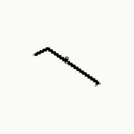 CCCCCCCC/C=C\CCCCCCCCCCCC(=O)OCCCCCCCCCCCCCCCCCCCCCC(C)C